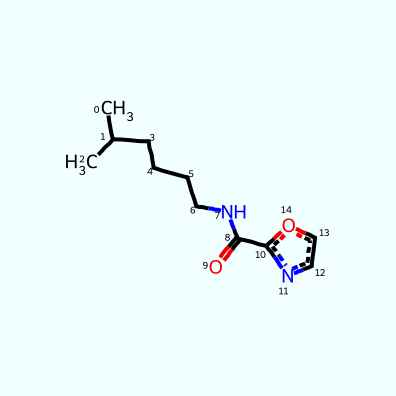 CC(C)CCCCNC(=O)c1ncco1